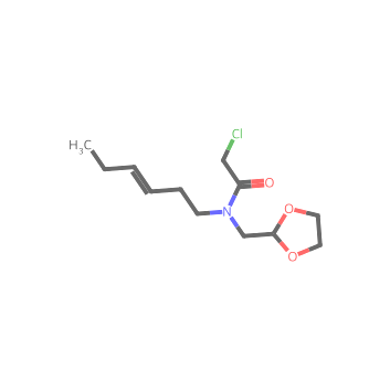 CCC=CCCN(CC1OCCO1)C(=O)CCl